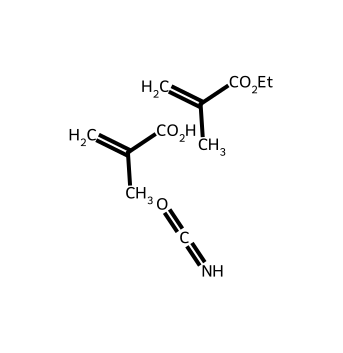 C=C(C)C(=O)O.C=C(C)C(=O)OCC.N=C=O